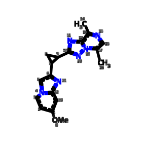 COc1ccn2cc(C3CC3c3nc4c(C)ncc(C)n4n3)nc2c1